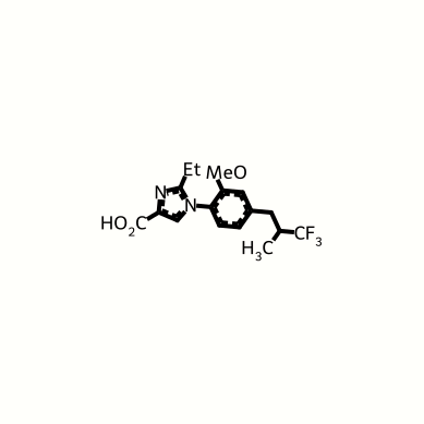 CCc1nc(C(=O)O)cn1-c1ccc(CC(C)C(F)(F)F)cc1OC